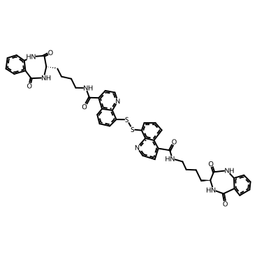 O=C1N[C@@H](CCCCNC(=O)c2ccnc3c(SSc4cccc5c(C(=O)NCCCC[C@@H]6NC(=O)c7ccccc7NC6=O)ccnc45)cccc23)C(=O)Nc2ccccc21